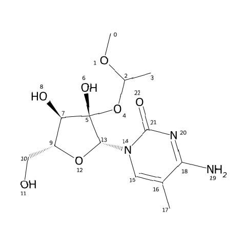 COC(C)O[C@@]1(O)[C@H](O)[C@@H](CO)O[C@H]1n1cc(C)c(N)nc1=O